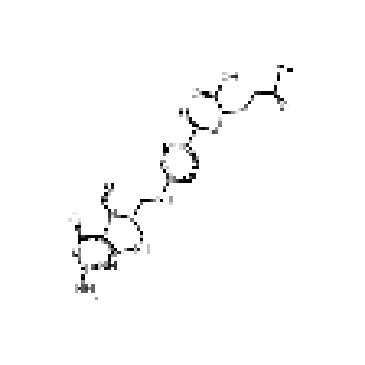 Nc1nc(=O)c2c([nH]1)NCC(CNc1ccc(C(=O)C[C@@H](CCC(=O)O)C(=O)O)cc1)N2C=O